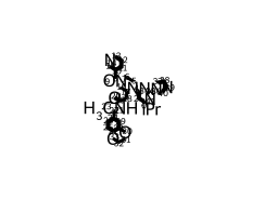 CC(C)c1cc(N2CCN(C(=O)c3cccnc3)CC2CC(=O)NC(C)c2ccc3c(c2)OCCO3)nc(-n2ccnc2)n1